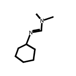 CN(C)/C=N/C1CCCCC1